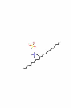 CCCCCCCCCCC(CCCCCCCC)C[N+](C)(C)C.CS(=O)(=O)[O-]